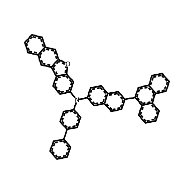 c1ccc(-c2ccc(N(c3ccc4cc(-c5cc6ccccc6c6ccccc56)ccc4c3)c3ccc4c(c3)oc3cc5ccccc5cc34)cc2)cc1